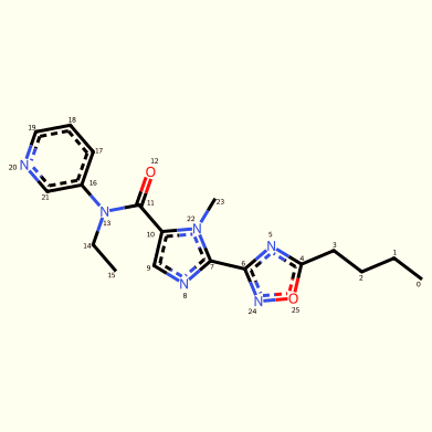 CCCCc1nc(-c2ncc(C(=O)N(CC)c3cccnc3)n2C)no1